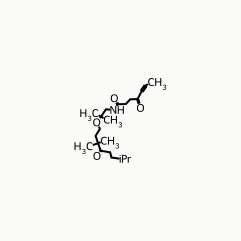 CC#CC(=O)CCC(=O)NCC(C)(C)OCCC(C)(C)C(=O)CCC(C)C